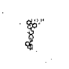 CC1(C)Cc2cccc(CN3CCC4(CC3)CCN(C(=O)c3ccccc3-c3ccccc3C(=O)O)CC4)c2O1